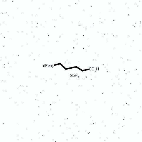 CCCCCCCCCC(=O)O.[SbH3]